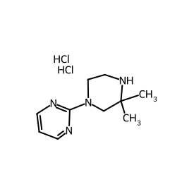 CC1(C)CN(c2ncccn2)CCN1.Cl.Cl